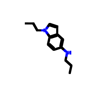 CCCNc1ccc2c(ccn2CCC)c1